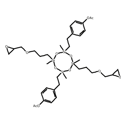 CC(=O)Oc1ccc(CC[Si]2(C)O[Si](C)(CCCOCC3CO3)O[Si](C)(CCc3ccc(OC(C)=O)cc3)O[Si](C)(CCCOCC3CO3)O2)cc1